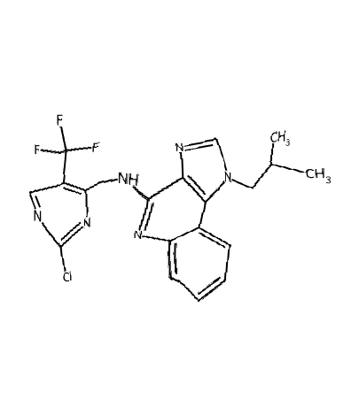 CC(C)Cn1cnc2c(Nc3nc(Cl)ncc3C(F)(F)F)nc3ccccc3c21